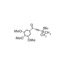 COc1cc(C(=O)C#C[Si](C)(C)C(C)(C)C)cc(OC)c1OC